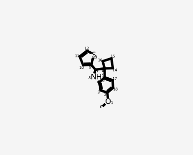 COc1ccc(C2(C(N)c3cccs3)CCC2)cc1